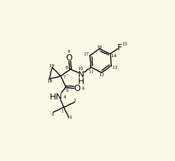 CC(C)(C)NC(=O)C1(C(=O)Nc2ccc(F)cc2)CC1